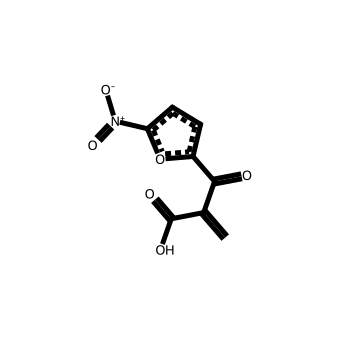 C=C(C(=O)O)C(=O)c1ccc([N+](=O)[O-])o1